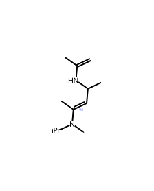 C=C(C)NC(C)/C=C(\C)N(C)C(C)C